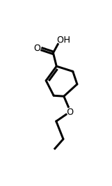 CCCOC1CC=C(C(=O)O)CC1